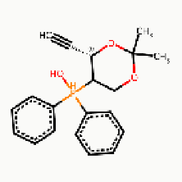 C#C[C@@H]1OC(C)(C)OCC1[PH](O)(c1ccccc1)c1ccccc1